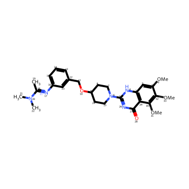 COc1cc2[nH]c(N3CCC(OCc4cccc(/N=C(\C)N(C)C)c4)CC3)nc(=O)c2c(OC)c1OC